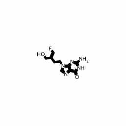 Nc1nc2c(ncn2CCC(=CF)CO)c(=O)[nH]1